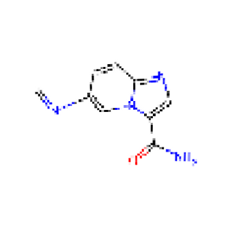 C=Nc1ccc2ncc(C(N)=O)n2c1